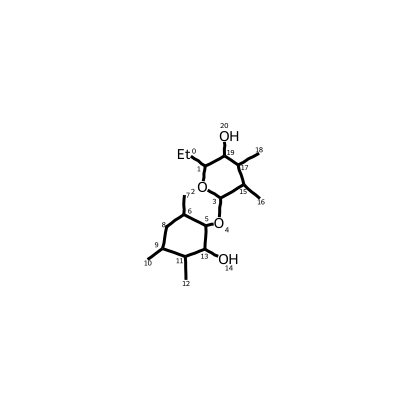 CCC1OC(OC2C(C)CC(C)C(C)C2O)C(C)C(C)C1O